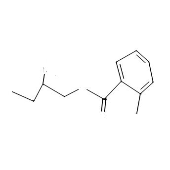 CCC(N)COC(=O)c1ccccc1C